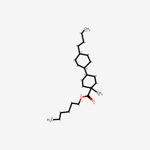 CCCCCCOC(=O)C1(C)CCC(C2CCC(CCCC)CC2)CC1